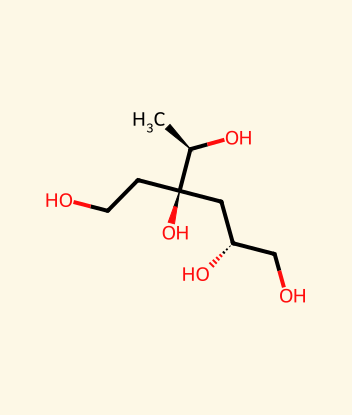 C[C@@H](O)[C@@](O)(CCO)C[C@@H](O)CO